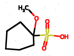 COC1(S(=O)(=O)O)CCCCC1